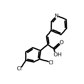 O=C(O)/C(=C\c1cccnc1)c1ccc(Cl)cc1Cl